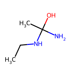 CCNC(C)(N)O